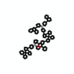 c1ccc(-c2ccc(-c3ccccc3N(c3ccccc3)c3ccc(-c4cccc5c4-c4ccccc4C5(c4ccccc4)c4ccccc4)cc3)c3ccc(-c4cccc(C5(c6ccccc6)c6ccccc6-c6c(-c7ccc(N(c8ccc(-c9cccc%10ccccc9%10)cc8)c8cccc(-c9cc%10ccccc%10c%10ccccc9%10)c8)cc7)cccc65)c4)cc23)cc1